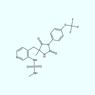 CNS(=O)(=O)Nc1cnccc1CC1(C)NC(=O)N(c2ccc(SC(F)(F)F)cc2)C1=O